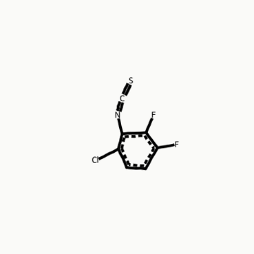 Fc1ccc(Cl)c(N=C=S)c1F